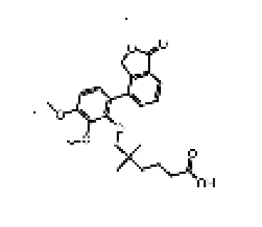 COc1ccc(-c2cccc3c2COC3=O)c(OCC(C)(C)CCCC(=O)O)c1OC